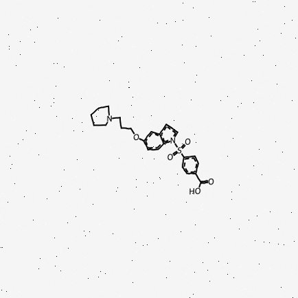 O=C(O)c1ccc(S(=O)(=O)n2ccc3cc(OCCCN4CCCCC4)ccc32)cc1